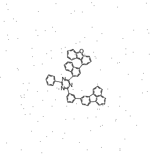 c1ccc(-c2nc(-c3cccc(-c4ccc5c(c4)-c4cccc6cccc-5c46)c3)nc(-c3ccc(-c4cccc5oc6ccccc6c45)c4ccccc34)n2)cc1